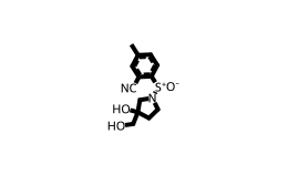 Cc1ccc([S+]([O-])N2CCC(O)(CO)C2)c(C#N)c1